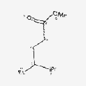 CCC(CCC(=O)OC)C(C)C